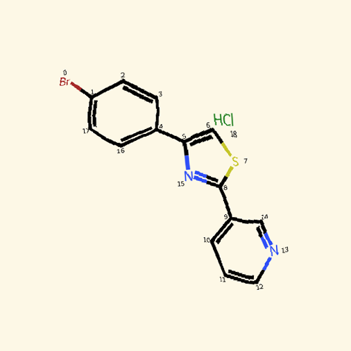 Brc1ccc(-c2csc(-c3cccnc3)n2)cc1.Cl